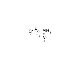 [AlH3].[CaH2].[Cr].[V]